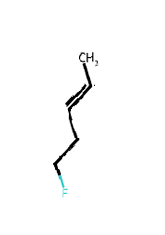 C[C]=CCCF